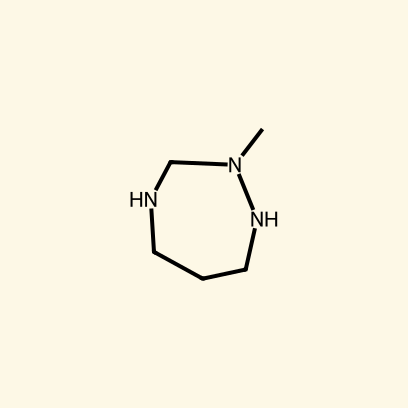 CN1CNCCCN1